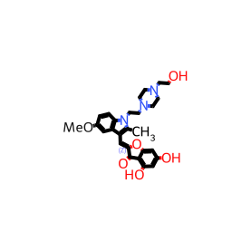 COc1ccc2c(c1)c(/C=C1\Oc3cc(O)cc(O)c3C1=O)c(C)n2CCN1CCN(CCO)CC1